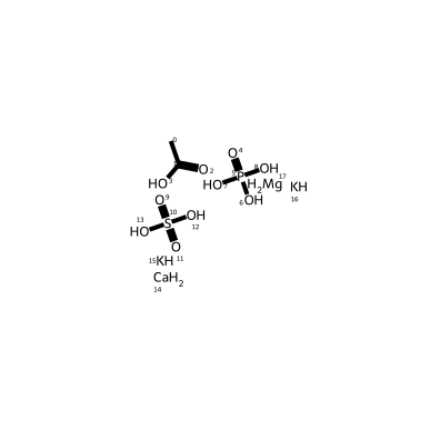 CC(=O)O.O=P(O)(O)O.O=S(=O)(O)O.[CaH2].[KH].[KH].[MgH2]